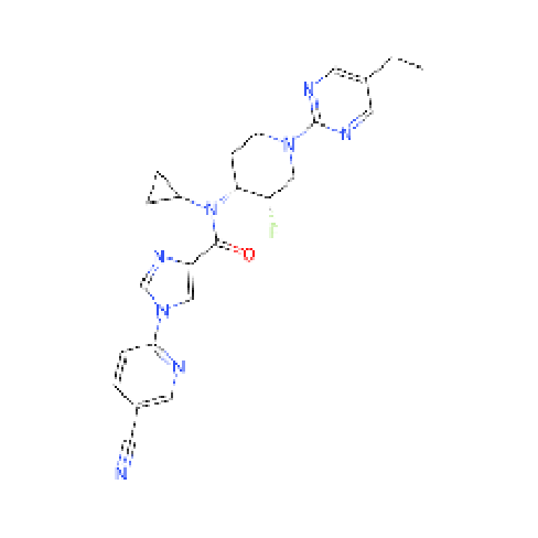 CCc1cnc(N2CC[C@@H](N(C(=O)c3cn(-c4ccc(C#N)cn4)cn3)C3CC3)[C@@H](F)C2)nc1